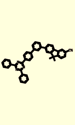 CC1(C)c2ccc(C#N)cc2-c2ccc(-c3cccc(-c4ccc(-c5nc(-c6ccccc6)nc(-c6ccccc6)n5)cc4)c3)cc21